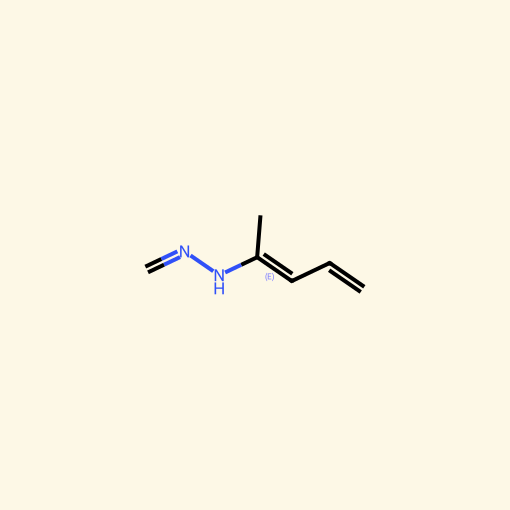 C=C/C=C(\C)NN=C